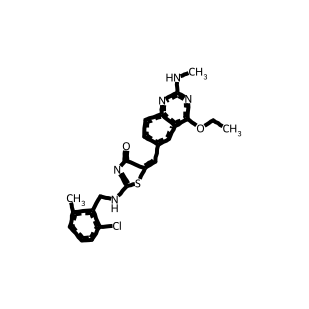 CCOc1nc(NC)nc2ccc(/C=C3/SC(NCc4c(C)cccc4Cl)=NC3=O)cc12